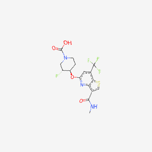 CNC(=O)c1csc2c(C(F)(F)F)cc(O[C@@H]3CCN(C(=O)O)C[C@H]3F)nc12